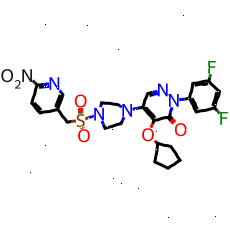 O=c1c(OC2CCCC2)c(N2CCN(S(=O)(=O)Cc3ccc([N+](=O)[O-])nc3)CC2)cnn1-c1cc(F)cc(F)c1